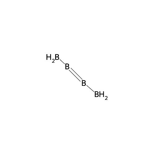 BB=BB